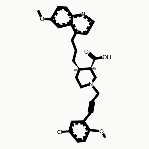 COc1ccc2nccc(CCC[C@@H]3CCN(CC#Cc4cc(Cl)ccc4OC)C[C@@H]3C(=O)O)c2c1